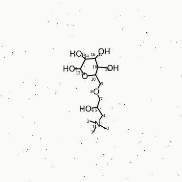 C[N+](C)(C)CC(O)COCC1OC(O)C(O)C(O)C1O